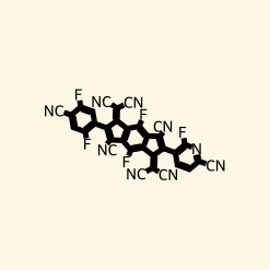 N#CC(C#N)=C1C(c2cc(F)c(C#N)cc2F)=C(C#N)c2c(F)c3c(c(F)c21)C(C#N)=C(c1ccc(C#N)nc1F)C3=C(C#N)C#N